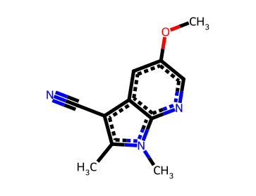 COc1cnc2c(c1)c(C#N)c(C)n2C